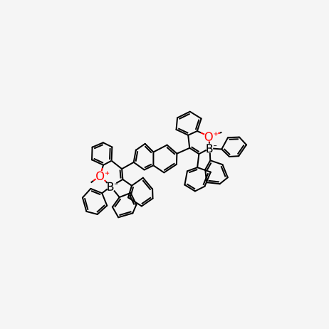 C[O+]1c2ccccc2C(c2ccc3cc(C4=C(c5ccccc5)[B-](c5ccccc5)(c5ccccc5)[O+](C)c5ccccc54)ccc3c2)=C(c2ccccc2)[B-]1(c1ccccc1)c1ccccc1